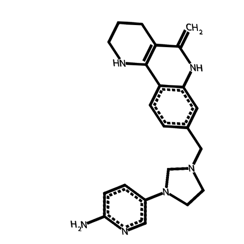 C=C1Nc2cc(CN3CCN(c4ccc(N)nc4)C3)ccc2C2=C1CCCN2